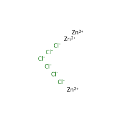 [Cl-].[Cl-].[Cl-].[Cl-].[Cl-].[Cl-].[Zn+2].[Zn+2].[Zn+2]